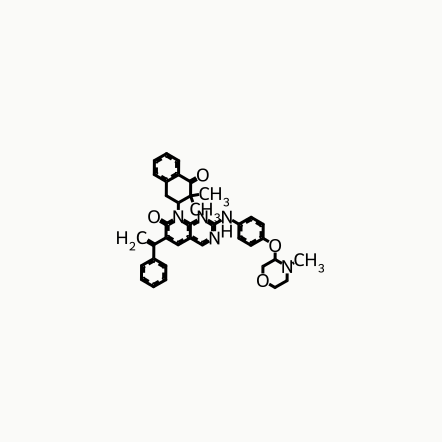 C=C(c1ccccc1)c1cc2cnc(Nc3ccc(OC4COCCN4C)cc3)nc2n(C2Cc3ccccc3C(=O)C2(C)C)c1=O